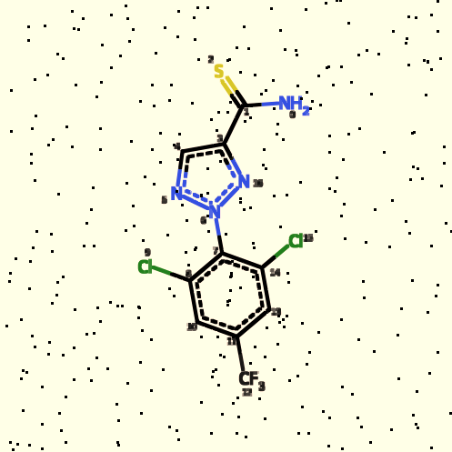 NC(=S)c1cnn(-c2c(Cl)cc(C(F)(F)F)cc2Cl)n1